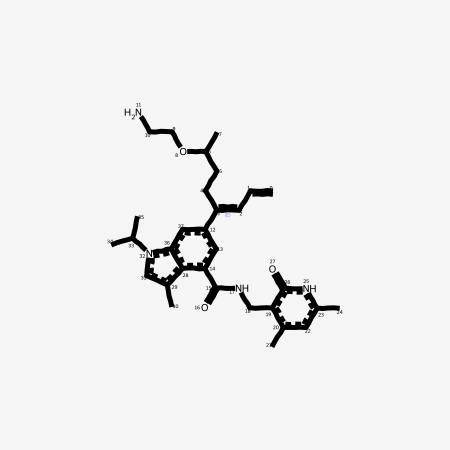 C=C/C=C(\CCC(C)OCCN)c1cc(C(=O)NCc2c(C)cc(C)[nH]c2=O)c2c(C)cn(C(C)C)c2c1